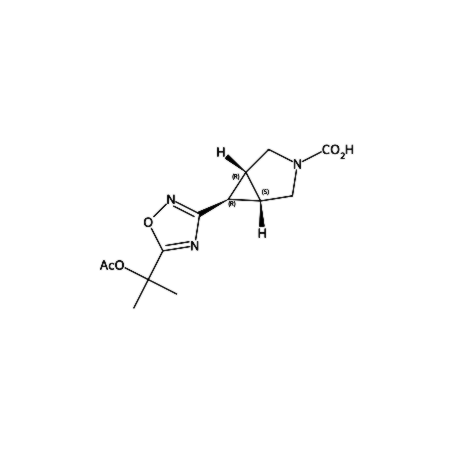 CC(=O)OC(C)(C)c1nc([C@H]2[C@@H]3CN(C(=O)O)C[C@@H]32)no1